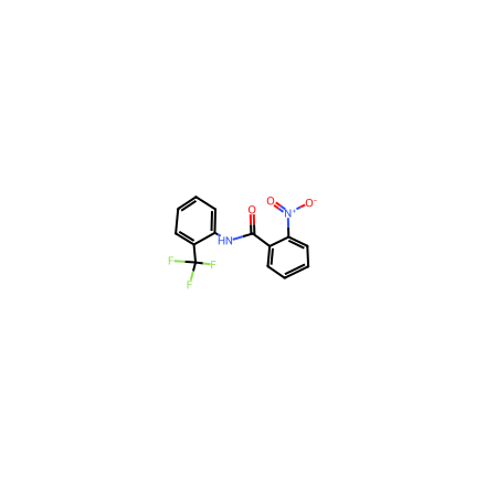 O=C(Nc1ccccc1C(F)(F)F)c1ccccc1[N+](=O)[O-]